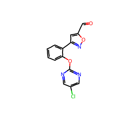 O=Cc1cc(-c2ccccc2Oc2ncc(Cl)cn2)no1